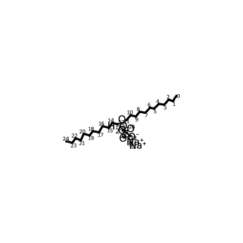 CCCCCCCCCCCCOCCCCCCCCCCCC.O.O=S(=O)([O-])[O-].[Na+].[Na+]